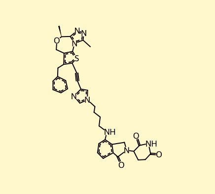 Cc1nnc2n1-c1sc(C#Cc3cn(CCCCNc4cccc5c4CN(C4CCC(=O)NC4=O)C5=O)cn3)c(Cc3ccccc3)c1CO[C@H]2C